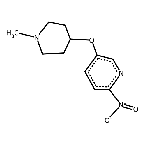 CN1CCC(Oc2ccc([N+](=O)[O-])nc2)CC1